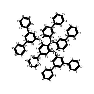 c1ccc(-c2cc(-c3ccccc3)cc(N3c4ccc(-c5ccccc5)cc4B4c5cc(-c6ccccc6)ccc5N(c5cc(-c6ccccc6)cc(-c6ccccc6)c5)c5cc(-c6ncncn6)cc3c54)c2)cc1